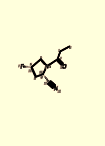 CCC(=O)N1C[C@@H](F)C[C@H]1C#N